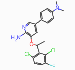 CC(Oc1cc(-c2ccc(N(C)C)cc2)cnc1N)c1c(Cl)ccc(F)c1Cl